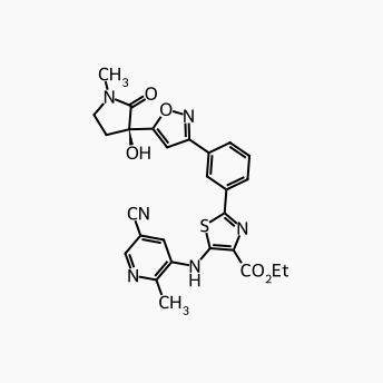 CCOC(=O)c1nc(-c2cccc(-c3cc([C@]4(O)CCN(C)C4=O)on3)c2)sc1Nc1cc(C#N)cnc1C